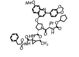 C=CC1CC1(NC(=O)[C@@H]1C[C@@H](Oc2cc(-c3ccc4c(c3)OCO4)nc3cc(OC)ccc23)CN1C(=O)[C@@H](NC(=O)OC1CCCC1)C(C)C)C(=O)NS(=O)(=O)Cc1ccccc1